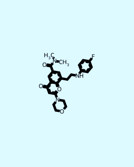 CN(C)C(=O)c1cc(CCNc2ccc(F)cc2)c2oc(N3CCOCC3)cc(=O)c2c1